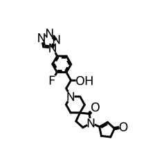 O=C1C=C(N2CCC3(CCN(CC(O)c4ccc(-n5cnnn5)cc4F)CC3)C2=O)CC1